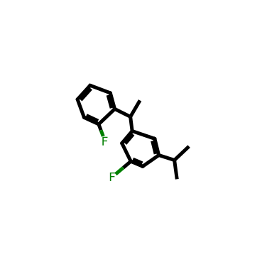 CC(C)c1cc(F)cc(C(C)c2ccccc2F)c1